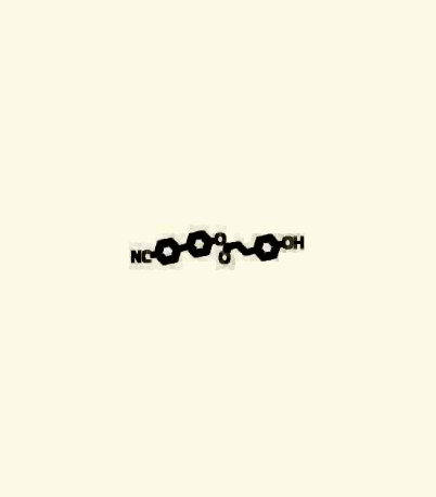 N#Cc1ccc(-c2ccc(OC(=O)CCc3ccc(O)cc3)cc2)cc1